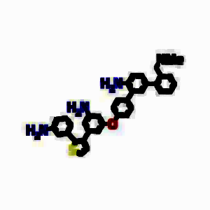 CNCc1ccccc1-c1ccc(N)c(-c2ccc(Oc3cc(N)cc(-c4ccsc4-c4cccc(N)c4)c3)cc2)c1